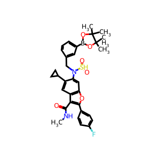 CNC(=O)c1c(-c2ccc(F)cc2)oc2cc(N(Cc3cccc(B4OC(C)(C)C(C)(C)O4)c3)[SH](=O)=O)c(C3CC3)cc12